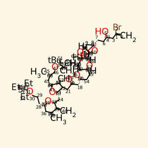 C=C(Br)C[C@H](O)CC[C@@]12C[C@H]3O[C@H]4[C@@H](O1)[C@H]1O[C@@H](CC(=O)CC5[C@H](CC6O[C@@H](CCCO[Si](CC)(CC)CC)C[C@@H](C)C6=C)O[C@H](C[C@H](C)CO[Si](C)(C)C(C)(C)C)[C@@H]5C)CC[C@@H]1O[C@H]4[C@H]3O2